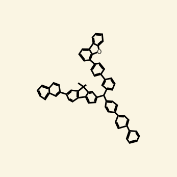 CC1(C)c2cc(-c3ccc4ccccc4c3)ccc2-c2ccc(C(c3ccc(-c4ccc(-c5ccccc5)cc4)cc3)c3cccc(-c4ccc(-c5cccc6c5oc5ccccc56)cc4)c3)cc21